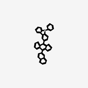 c1ccc(-n2c3ccccc3c3cc(-c4c5ccccc5c(-c5ccc6ccccc6c5)c5ccccc45)ccc32)cc1